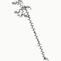 C=C(CCCCC(CCCCC(=C)CC(C)(C)C)(CCCCC(C)(C)C)NC(=C)CCCCCCCCCCCCCCCCCCCCCCCCCCCCCCCCCCCCCCN)CC(C)(C)C